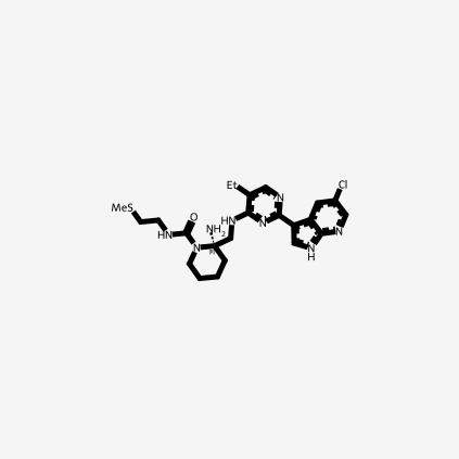 CCc1cnc(-c2c[nH]c3ncc(Cl)cc23)nc1NC[C@@]1(N)CCCCN1C(=O)NCCSC